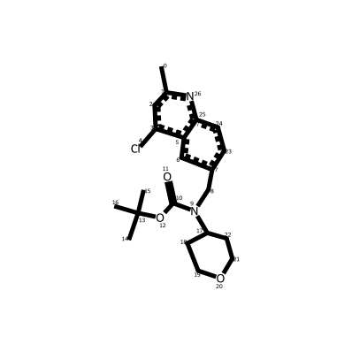 Cc1cc(Cl)c2cc(CN(C(=O)OC(C)(C)C)C3CCOCC3)ccc2n1